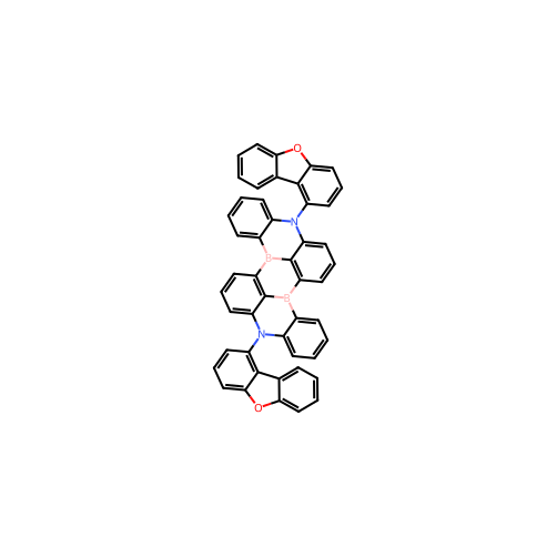 c1ccc2c(c1)B1c3cccc4c3B(c3ccccc3N4c3cccc4oc5ccccc5c34)c3cccc(c31)N2c1cccc2oc3ccccc3c12